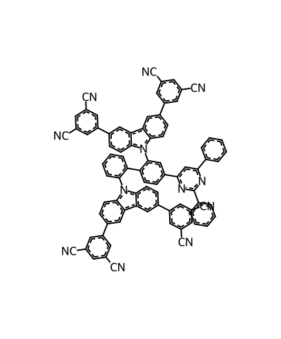 N#Cc1cc(C#N)cc(-c2ccc3c(c2)c2cc(-c4cc(C#N)cc(C#N)c4)ccc2n3-c2ccccc2-c2ccc(-c3cc(-c4ccccc4)nc(-c4ccccc4)n3)cc2-n2c3ccc(-c4cc(C#N)cc(C#N)c4)cc3c3cc(-c4cc(C#N)cc(C#N)c4)ccc32)c1